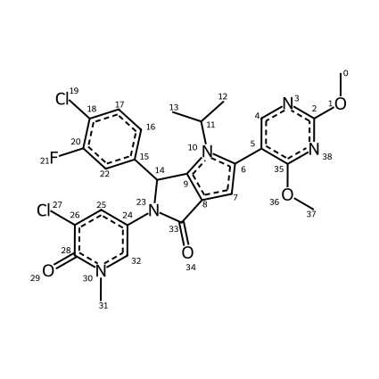 COc1ncc(-c2cc3c(n2C(C)C)C(c2ccc(Cl)c(F)c2)N(c2cc(Cl)c(=O)n(C)c2)C3=O)c(OC)n1